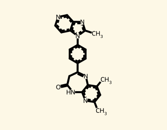 Cc1cc(C)c2c(n1)NC(=O)CC(c1ccc(-n3c(C)nc4cnccc43)cc1)=N2